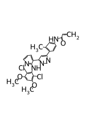 C=CC(=O)Nc1ccc(-c2cc(-c3cccnc3Nc3c(Cl)c(OC)cc(OC)c3Cl)ncn2)c(C)c1